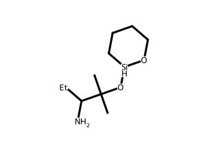 CCC(N)C(C)(C)O[SiH]1CCCCO1